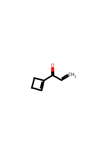 C=CC(=O)C1=CCC1